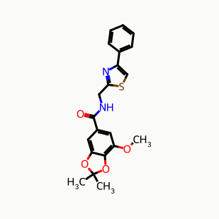 COc1cc(C(=O)NCc2nc(-c3ccccc3)cs2)cc2c1OC(C)(C)O2